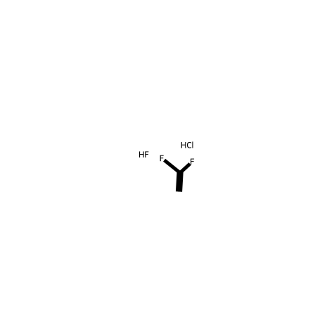 C=C(F)F.Cl.F